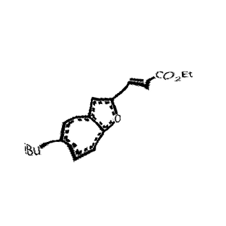 CCOC(=O)C=Cc1cc2cc(C(C)CC)ccc2o1